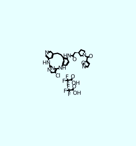 O=C(C[C@H]1CCN(C(=O)c2ccno2)C1)Nc1ccc2cc1CCc1cncc(c1)Nc1ncc(Cl)c(n1)N2.O=C(O)C(F)(F)F.O=C(O)C(F)(F)F